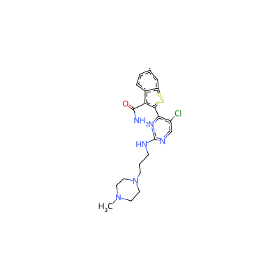 CN1CCN(CCCNc2ncc(Cl)c(-c3sc4c[c]ccc4c3C(N)=O)n2)CC1